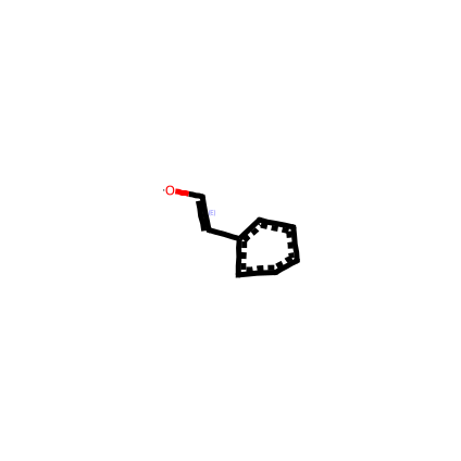 [O]/C=C/c1ccccc1